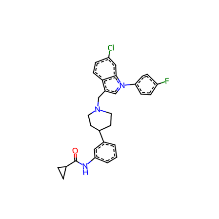 O=C(Nc1cccc(C2CCN(Cc3cn(-c4ccc(F)cc4)c4cc(Cl)ccc34)CC2)c1)C1CC1